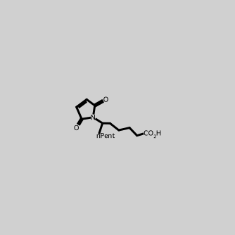 CCCCCC(CCCCC(=O)O)N1C(=O)C=CC1=O